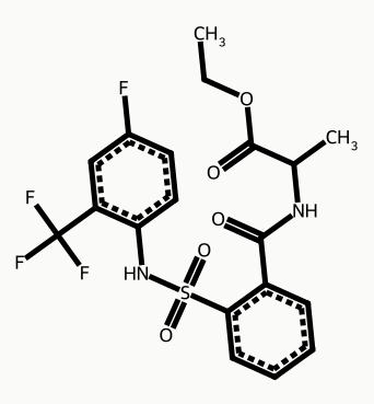 CCOC(=O)C(C)NC(=O)c1ccccc1S(=O)(=O)Nc1ccc(F)cc1C(F)(F)F